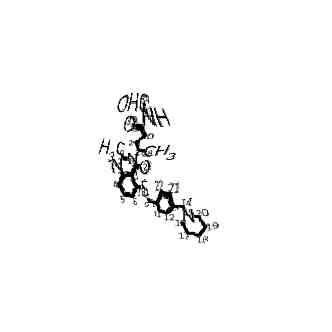 Cc1nc2cccc(SCc3ccc(CN4CCCCC4)cc3)c2c(=O)n1C(C)CCC(=O)NC=O